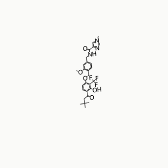 COc1cc(CNC(=O)c2cn(C)cn2)ccc1COc1ccc(C(=O)CC(C)(C)C)c(O)c1C(F)(F)F